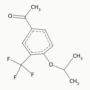 CC(=O)c1ccc(OC(C)C)c(C(F)(F)F)c1